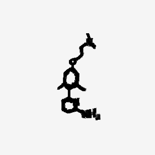 Cc1cc(OCCN(C)C)cc(C)c1-c1cccc(N)n1